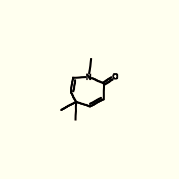 CN1C=CC(C)(C)C=CC1=O